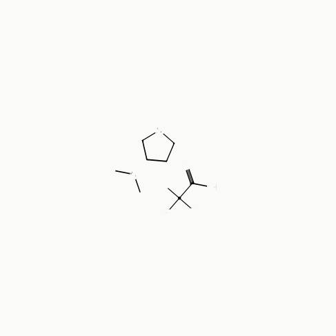 CN(C)[C@H]1CCNC1.O=C(O)C(F)(F)F